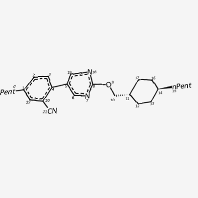 CCCCCc1ccc(-c2cnc(OC[C@H]3CC[C@H](CCCCC)CC3)nc2)c(C#N)c1